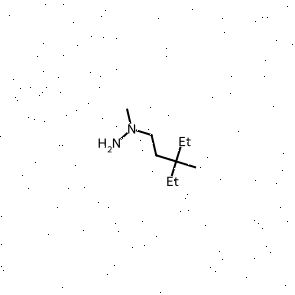 CCC(C)(CC)CCN(C)N